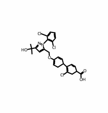 CC(C)(O)c1cc(COC2=CCC(C3=C(Cl)CC(C(=O)O)C=C3)C=C2)n(-c2c(Cl)cccc2Cl)n1